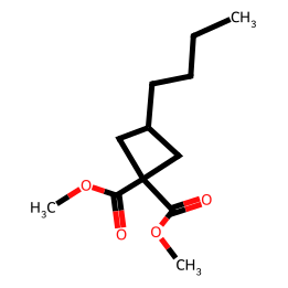 CCCCC1CC(C(=O)OC)(C(=O)OC)C1